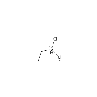 CC[SH](Cl)Cl